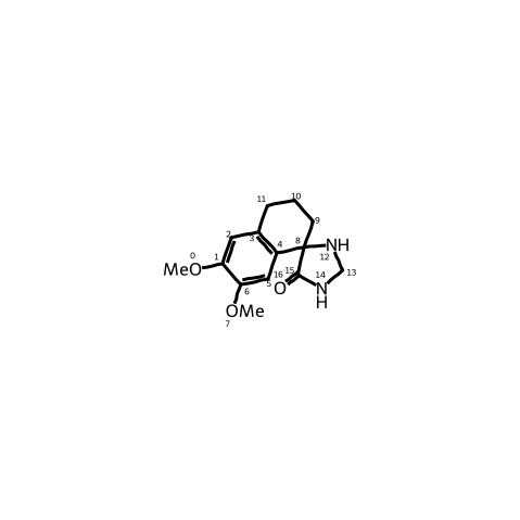 COc1cc2c(cc1OC)C1(CCC2)NCNC1=O